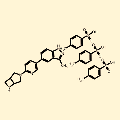 Cc1ccc(S(=O)(=O)O)cc1.Cc1ccc(S(=O)(=O)O)cc1.Cc1ccc(S(=O)(=O)O)cc1.Cc1n[nH]c2ccc(-c3ccc(N4CC5CNC5C4)nc3)cc12